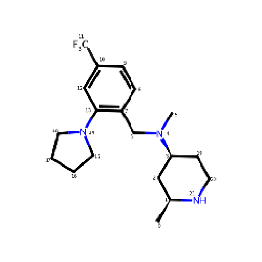 C[C@H]1C[C@@H](N(C)Cc2ccc(C(F)(F)F)cc2N2CCCC2)CCN1